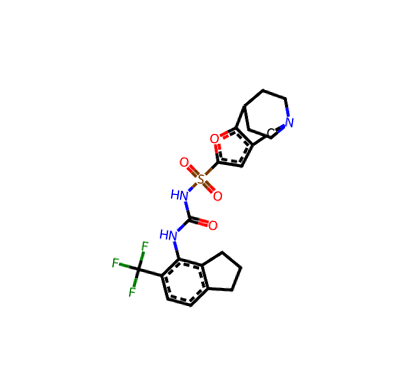 O=C(Nc1c(C(F)(F)F)ccc2c1CCC2)NS(=O)(=O)c1cc2c(o1)C1CCN(CC1)C2